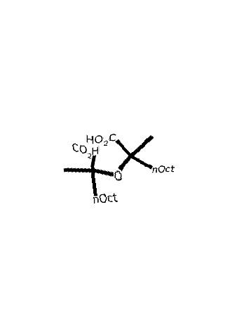 CCCCCCCCC(C)(OC(C)(CCCCCCCC)C(=O)O)C(=O)O